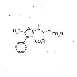 CCOC(=O)CC(=O)Nc1sc(C)c(-c2ccccc2)c1C(=O)O